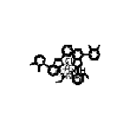 CCC(=O)N[B](NC(=O)CC)[Zr]([Cl])([Cl])([CH]1C(c2ccccc2)=Cc2c(-c3cccc(C)c3C)cccc21)[CH]1C(c2ccccc2)=Cc2c(-c3cccc(C)c3C)cccc21